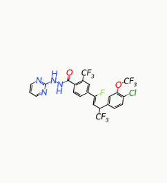 O=C(NNc1ncccn1)c1ccc(C(F)=CC(c2ccc(Cl)c(OC(F)(F)F)c2)C(F)(F)F)cc1C(F)(F)F